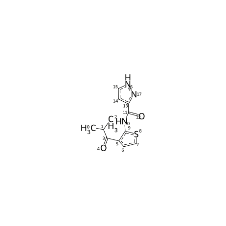 CC(C)C(=O)c1ccsc1NC(=O)c1cc[nH]n1